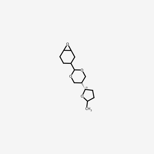 CC1CC[C@@H](C2COC(C3CCC4OC4C3)OC2)O1